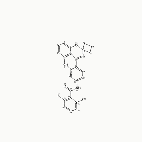 Cc1cccc2c1C(c1ccc(NC(=O)c3c(F)cccc3F)cc1)=CC1(CCC1)O2